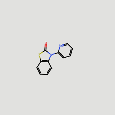 O=c1sc2ccc[c]c2n1-c1ccccn1